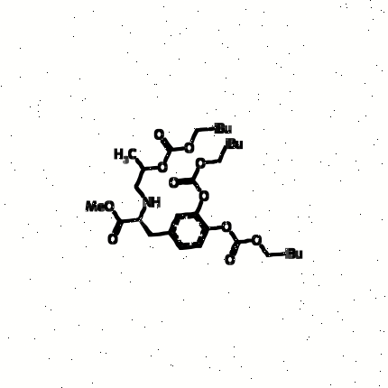 CCC(C)COC(=O)Oc1ccc(C[C@H](NCC(C)OC(=O)OCC(C)CC)C(=O)OC)cc1OC(=O)OCC(C)CC